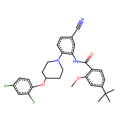 COc1cc(C(C)(C)C)ccc1C(=O)Nc1cc(C#N)ccc1N1CCC(Oc2ccc(F)cc2F)CC1